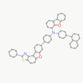 c1ccc(-c2nc3c(ccc4oc5cc(-c6ccc(N(c7ccc(-c8cccc9ccccc89)cc7)c7cccc8c7oc7ccccc78)cc6)ccc5c43)s2)cc1